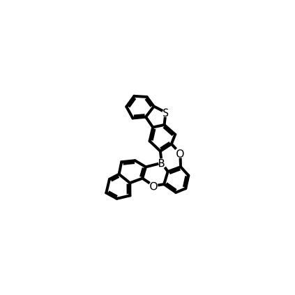 c1cc2c3c(c1)Oc1c(ccc4ccccc14)B3c1cc3c(cc1O2)sc1ccccc13